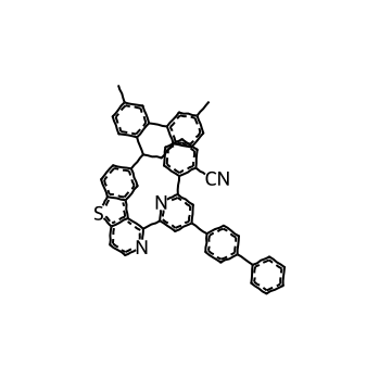 Cc1ccc2c(c1)-c1cc(C)ccc1C(c1ccc3sc4ccnc(-c5cc(-c6ccc(-c7ccccc7)cc6)cc(-c6ccccc6C#N)n5)c4c3c1)C2